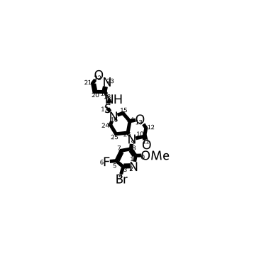 COc1nc(Br)c(F)cc1N1C(=O)COC2CN(SNc3ccon3)CCC21